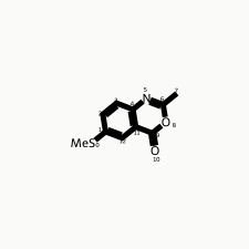 CSc1ccc2nc(C)oc(=O)c2c1